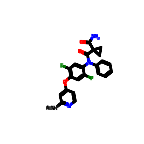 CC(=O)Nc1cc(Oc2cc(F)c(N(C(=O)C3(C(N)=O)CC3)c3ccccc3)cc2F)ccn1